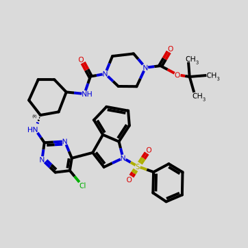 CC(C)(C)OC(=O)N1CCN(C(=O)NC2CCC[C@@H](Nc3ncc(Cl)c(-c4cn(S(=O)(=O)c5ccccc5)c5ccccc45)n3)C2)CC1